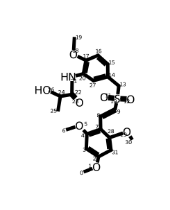 COc1cc(OC)c(C=CS(=O)(=O)Cc2ccc(OC)c(NC(=O)C(C)O)c2)c(OC)c1